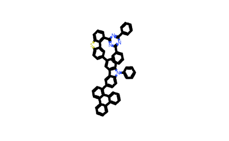 c1ccc(-c2nc(-c3ccccc3)nc(-c3cccc4sc5ccc(-c6ccc7c(c6)c6cc(-c8cccc9c%10ccccc%10c%10ccccc%10c89)ccc6n7-c6ccccc6)cc5c34)n2)cc1